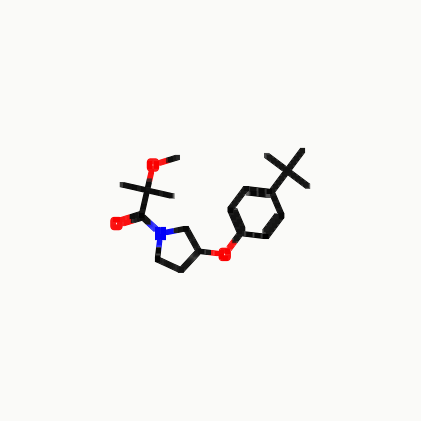 COC(C)(C)C(=O)N1CCC(Oc2ccc(C(C)(C)C)cc2)C1